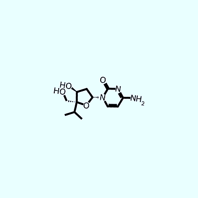 CC(C)[C@]1(CO)O[C@@H](n2ccc(N)nc2=O)C[C@@H]1O